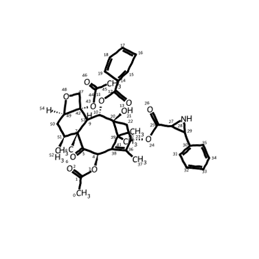 CC(=O)O[C@H]1C(=O)[C@@]2(C)[C@H]([C@H](OC(=O)c3ccccc3)[C@]3(O)C[C@H](OC(=O)C4NC4c4ccccc4)C(C)=C1C3(C)C)[C@]1(OC(C)=O)CO[C@@H]1C[C@@H]2C